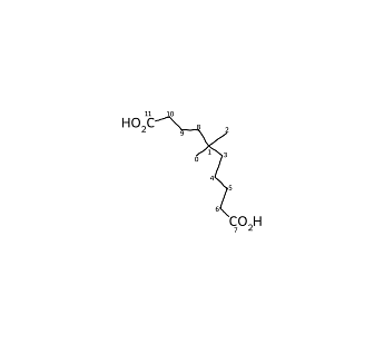 CC(C)(CCCCC(=O)O)CCCC(=O)O